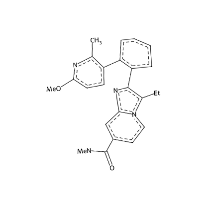 CCc1c(-c2ccccc2-c2ccc(OC)nc2C)nc2cc(C(=O)NC)ccn12